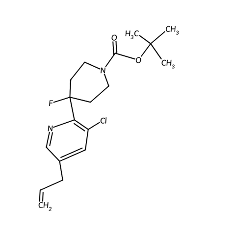 C=CCc1cnc(C2(F)CCN(C(=O)OC(C)(C)C)CC2)c(Cl)c1